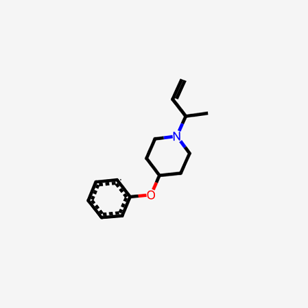 C=CC(C)N1CCC(Oc2[c]cccc2)CC1